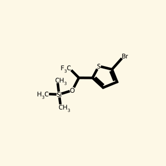 C[Si](C)(C)OC(c1ccc(Br)s1)C(F)(F)F